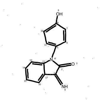 N=C1C(=O)N(c2ccc(O)cc2)c2ccccc21